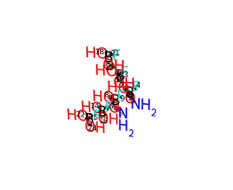 NOB(O)F.NOB(O)F.OB(O)F.OB(O)F.OB(O)F.OB(O)F